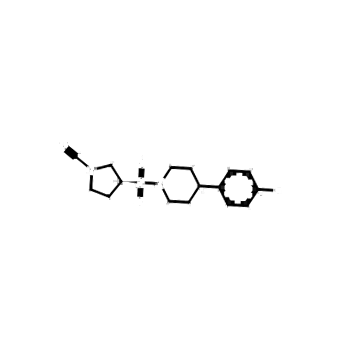 N#CN1CC[C@H](S(=O)(=O)N2CCC(c3ccc(Cl)cc3)CC2)C1